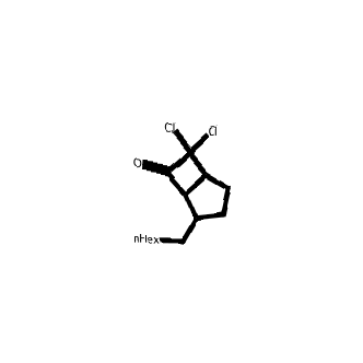 CCCCCCCC1CCC2C1C(=O)C2(Cl)Cl